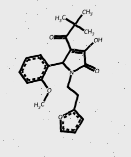 COc1ccccc1C1C(C(=O)C(C)(C)C)=C(O)C(=O)N1CCc1ccco1